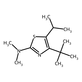 CC(C)c1sc(N(C)C)nc1C(C)(C)C